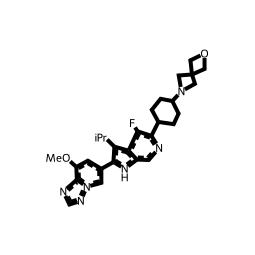 COc1cc(-c2[nH]c3cnc(C4CCC(N5CC6(COC6)C5)CC4)c(F)c3c2C(C)C)cn2ncnc12